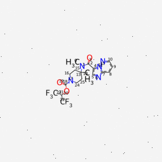 CN(C(=O)c1cnc2cccnn12)C1(C)CCN(C(=O)OC(C(F)(F)F)C(F)(F)F)CC1